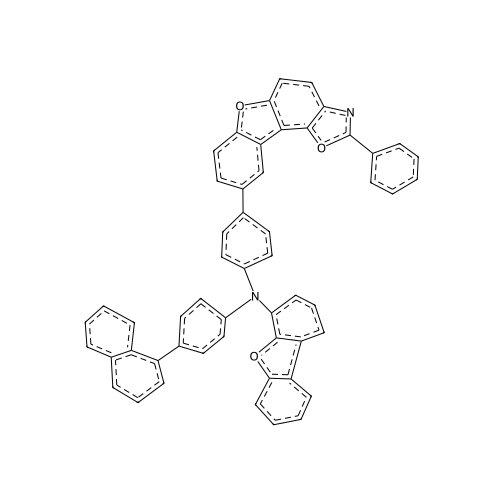 c1ccc(-c2nc3ccc4oc5ccc(-c6ccc(N(c7ccc(-c8cccc9ccccc89)cc7)c7cccc8c7oc7ccccc78)cc6)cc5c4c3o2)cc1